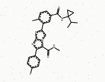 CNC(=O)c1c(-c2ccc(F)cc2)nc2sc(-c3cc(C(=O)NC4(C(C)C)CC4)ccc3C)cn12